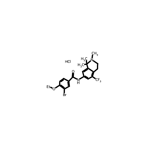 CCOc1ccc(C(=O)Nc2cc(C(F)(F)F)c3c(c2)C(C)(C)N(C)CC3)cc1Br.Cl